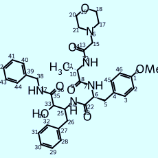 COc1ccc(C[C@H](NC(=O)[C@H](C)NC(=O)CN2CCOCC2)C(=O)NC(Cc2ccccc2)C(O)C(=O)NCc2ccccc2)cc1